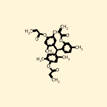 C=CC(=O)Oc1cc(C)c(C(c2cc(C)c(OC(=O)C=C)cc2C)c2ccc(C)cc2OC(=O)C=C)cc1C